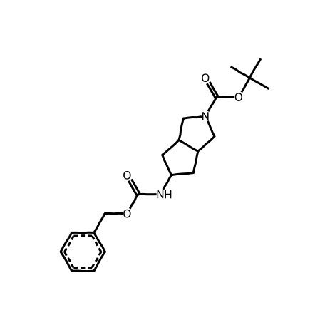 CC(C)(C)OC(=O)N1CC2CC(NC(=O)OCc3ccccc3)CC2C1